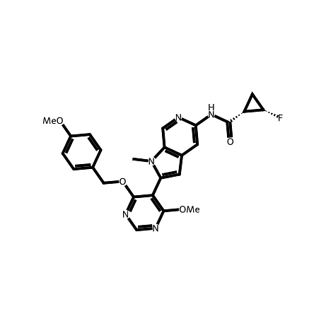 COc1ccc(COc2ncnc(OC)c2-c2cc3cc(NC(=O)[C@@H]4C[C@@H]4F)ncc3n2C)cc1